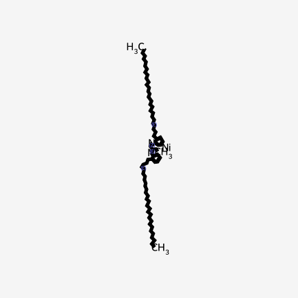 CCCCCCCCCCCCCCCCCCCCCCCC/C=C/CCCc1ccccc1/N=C\C(CC)=N\c1ccccc1CCC/C=C/CCCCCCCCCCCCCCCCCCCCCCCC.[Ni]